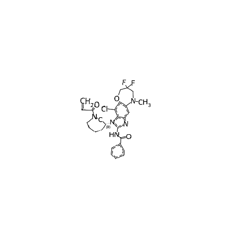 C=CC(=O)N1CCCC[C@@H](n2c(NC(=O)c3ccccc3)nc3cc4c(c(Cl)c32)OCC(F)(F)CN4C)C1